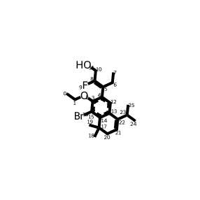 CCOc1c(C(CC)=C(F)CO)cc2c(c1Br)C(C)(C)CC=C2C(C)C